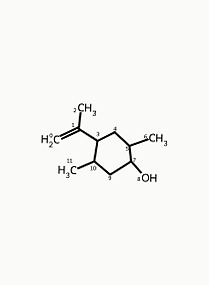 C=C(C)C1CC(C)C(O)CC1C